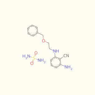 N#Cc1c(N)cccc1NCCOCc1ccccc1.NS(N)(=O)=O